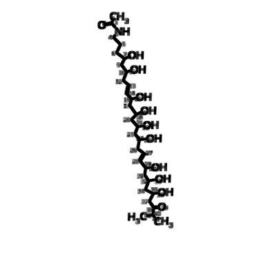 CC(=O)NCCCC(O)CC(O)C/C=C/C(O)CC(O)CC(O)CC(O)C/C=C/C(O)CC(O)CC(O)CC(=O)C(C)C